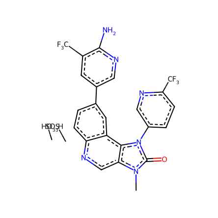 CS(=O)(=O)O.CS(=O)(=O)O.Cn1c(=O)n(-c2ccc(C(F)(F)F)nc2)c2c3cc(-c4cnc(N)c(C(F)(F)F)c4)ccc3ncc21